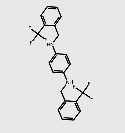 FC(F)(F)c1ccccc1CNc1ccc(NCc2ccccc2C(F)(F)F)cc1